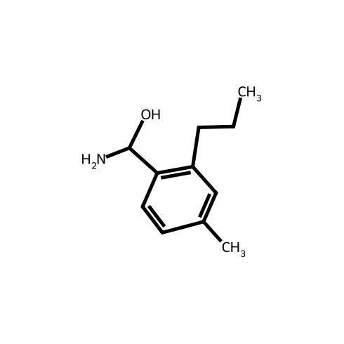 CCCc1cc(C)ccc1C(N)O